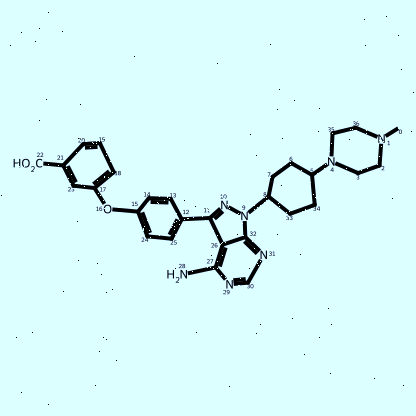 CN1CCN(C2CCC(n3nc(-c4ccc(Oc5cccc(C(=O)O)c5)cc4)c4c(N)ncnc43)CC2)CC1